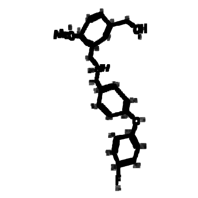 COc1ccc(CO)cc1CNCc1ccc(Oc2ccc(F)cc2)cc1